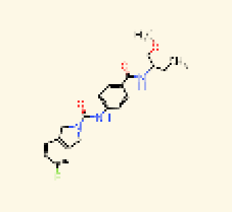 CCC(COC)NC(=O)c1ccc(NC(=O)N2Cc3ccc(F)cc3C2)cc1